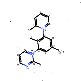 Cc1c(-[n+]2ccccc2C)cc(C(F)(F)F)cc1-[n+]1cccnc1C